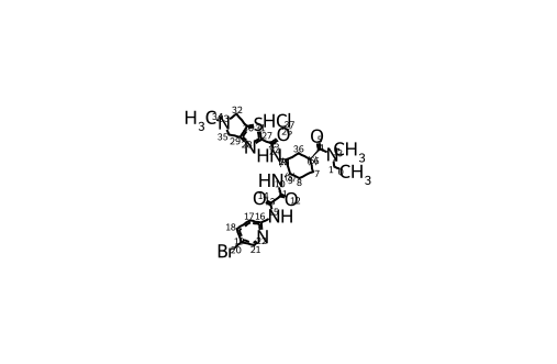 CCN(C)C(=O)[C@H]1CC[C@H](NC(=O)C(=O)Nc2ccc(Br)cn2)[C@H](NC(=O)c2nc3c(s2)CN(C)C3)C1.Cl